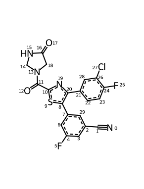 N#Cc1cc(F)cc(-c2sc(C(=O)N3CNC(=O)C3)nc2-c2ccc(F)c(Cl)c2)c1